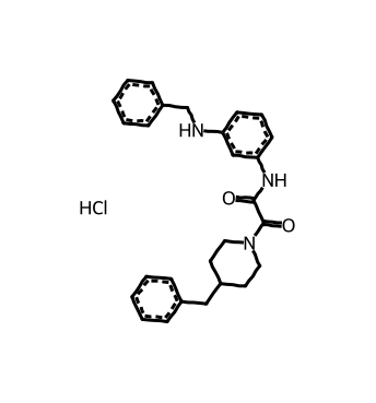 Cl.O=C(Nc1cccc(NCc2ccccc2)c1)C(=O)N1CCC(Cc2ccccc2)CC1